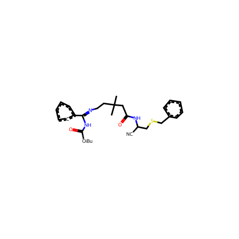 CC(C)COC(=O)NC(=NCCC(C)(C)CC(=O)NC(C#N)CSCc1ccccc1)c1ccccc1